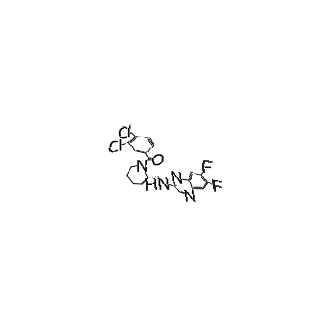 O=C(c1ccc(Cl)c(Cl)c1)N1CCCC[C@H]1CNc1cnc2cc(F)c(F)cc2n1